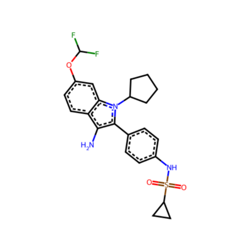 Nc1c(-c2ccc(NS(=O)(=O)C3CC3)cc2)n(C2CCCC2)c2cc(OC(F)F)ccc12